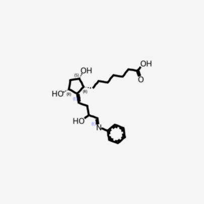 O=C(O)CCCCCC[C@@H]1/C(=C\CC(O)/C=N/c2ccccc2)[C@H](O)C[C@@H]1O